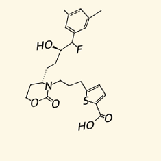 Cc1cc(C)cc(C(F)[C@H](O)CC[C@H]2CCOC(=O)N2CCCc2ccc(C(=O)O)s2)c1